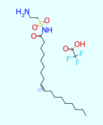 CCCCCCCC/C=C\CCCCCCCC(=O)NS(=O)(=O)CCN.O=C(O)C(F)(F)F